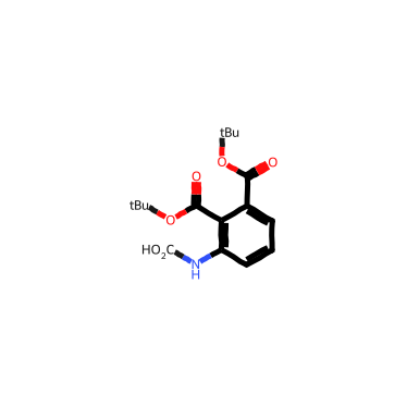 CC(C)(C)OC(=O)c1cccc(NC(=O)O)c1C(=O)OC(C)(C)C